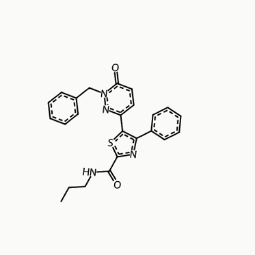 CCCNC(=O)c1nc(-c2ccccc2)c(-c2ccc(=O)n(Cc3ccccc3)n2)s1